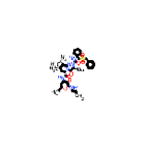 C#CCCC(NC(=O)[C@@H]1CC(C)(C)C(C)CN1C(=O)[C@@H](NC(=O)NC1(CS(=O)(=O)Cc2ccccc2)CCCCC1)C(C)(C)C)C(=O)C(=O)NCC=C